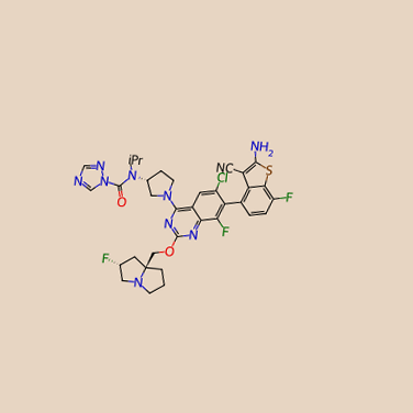 CC(C)N(C(=O)n1cncn1)[C@@H]1CCN(c2nc(OC[C@@]34CCCN3C[C@H](F)C4)nc3c(F)c(-c4ccc(F)c5sc(N)c(C#N)c45)c(Cl)cc23)C1